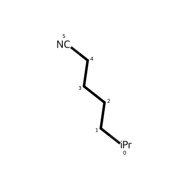 CC(C)CCCCC#N